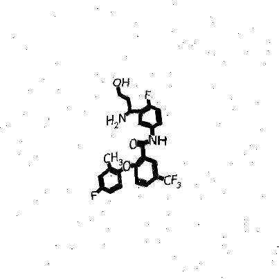 Cc1cc(F)ccc1Oc1ccc(C(F)(F)F)cc1C(=O)Nc1ccc(F)c(C(N)CCO)c1